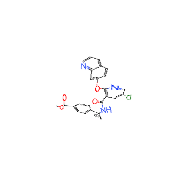 COC(=O)c1ccc([C@H](C)NC(=O)c2cc(Cl)cnc2Oc2ccc3cccnc3c2)cc1